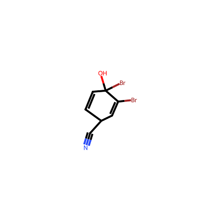 N#CC1C=CC(O)(Br)C(Br)=C1